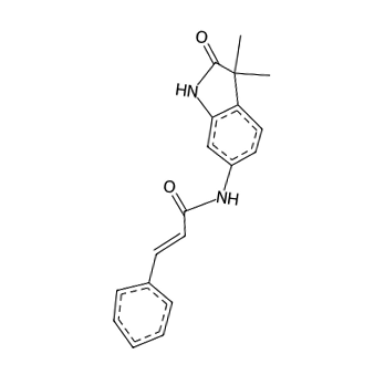 CC1(C)C(=O)Nc2cc(NC(=O)C=Cc3ccccc3)ccc21